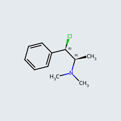 C[C@H]([C@H](Cl)c1ccccc1)N(C)C